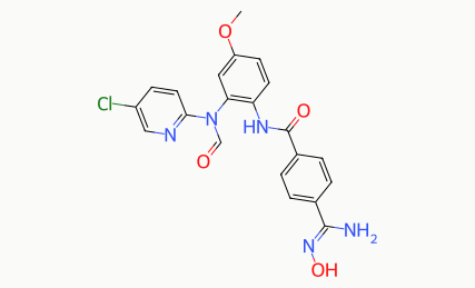 COc1ccc(NC(=O)c2ccc(C(N)=NO)cc2)c(N(C=O)c2ccc(Cl)cn2)c1